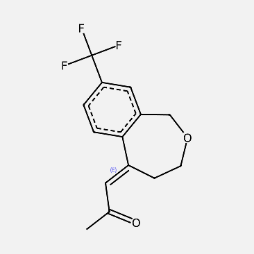 CC(=O)/C=C1\CCOCc2cc(C(F)(F)F)ccc21